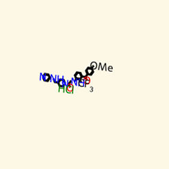 COc1ccc(C(=O)c2cccc(NCC(=O)N3CCC(CNc4ccncc4)CC3)c2C(F)(F)F)cc1.Cl